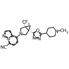 CN1CCC(c2nnc([C@]34CN(c5ccc(C#N)n6nccc56)C[C@@]3(C(F)(F)F)C4)o2)CC1